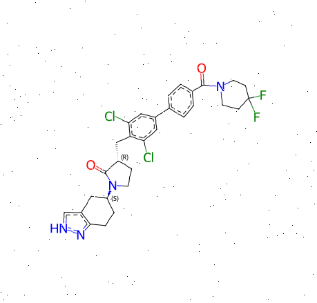 O=C(c1ccc(-c2cc(Cl)c(C[C@@H]3CCN([C@H]4CCc5n[nH]cc5C4)C3=O)c(Cl)c2)cc1)N1CCC(F)(F)CC1